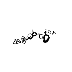 CC(C)(C)S(=O)(=O)N=Cc1cc2cc(COc3ccccc3CC(=O)O)cc(I)c2o1